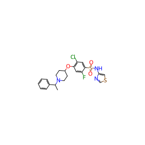 CC(c1ccccc1)N1CCC(Oc2cc(F)c(S(=O)(=O)Nc3cscn3)cc2Cl)CC1